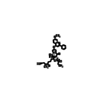 C#CCN(C)C(=O)CCCC(=O)N[C@@H](CNC(=O)C=C)C(=O)N1C[C@H](Oc2cc(-c3ccccc3)nc3cc(OC)ccc23)C[C@H]1C(N)=O